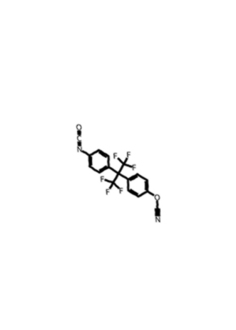 N#COc1ccc(C(c2ccc(N=C=O)cc2)(C(F)(F)F)C(F)(F)F)cc1